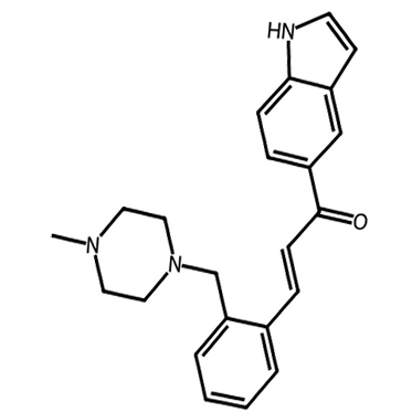 CN1CCN(Cc2ccccc2C=CC(=O)c2ccc3[nH]ccc3c2)CC1